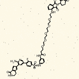 Nc1ncc(-c2ccc(S(=O)(=O)Nc3cccc(NC(=O)CCOCCOCCOCCOCCOCCNc4cccc5c4C(=O)N(C4CCC(=O)NC4=O)C5=O)c3)cc2F)cc1-c1ccc2c(c1)CCNC2=O